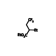 CCOC(=O)C(CC)CC(F)(F)F